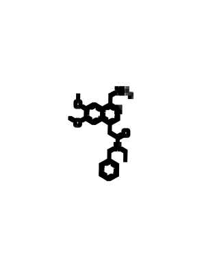 CCN(Cc1ccccc1)C(=O)Cc1cnc(CN)c2cc(OC)c(OC)cc12